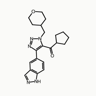 O=C(c1c(-c2ccc3[nH]ncc3c2)nnn1CC1CCOCC1)C1CCCC1